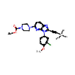 CC(C)[Si](C#Cc1nc2ccc(N3CCN(C(=O)OC(C)(C)C)CC3)nc2n1-c1ccc(OC(F)(F)F)c(Cl)c1)(C(C)C)C(C)C